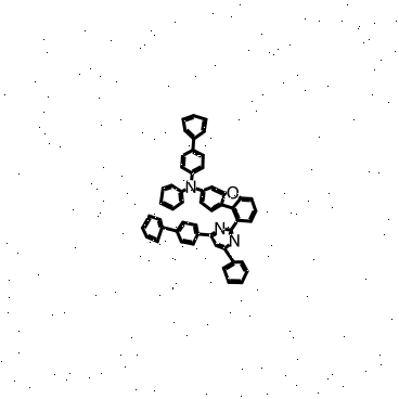 c1ccc(-c2ccc(-c3cc(-c4ccccc4)nc(-c4cccc5oc6cc(N(c7ccccc7)c7ccc(-c8ccccc8)cc7)ccc6c45)n3)cc2)cc1